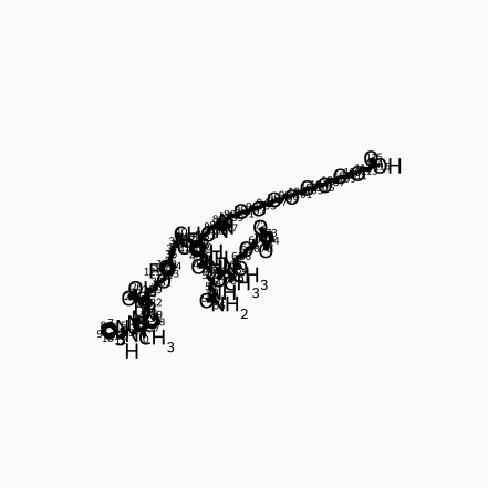 Cc1c(Nc2nc3ccccc3s2)nnc2c1CCCN2c1nc(C(=O)O)c(CCCOc2ccc(C#CC[N+](C)(C)Cc3ccc(NC(=O)[C@H](CCCNC(N)=O)NC(=O)[C@@H](NC(=O)CCOCCN4C(=O)C=CC4=O)C(C)C)cc3COCc3cn(CCOCCOCCOCCOCCOCCOCCOCCOCCC(=O)O)nn3)cc2F)s1